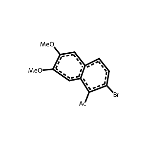 COc1cc2ccc(Br)c(C(C)=O)c2cc1OC